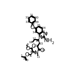 C=C(C)OC[C@@H](C(=O)OC)N(C)C(=O)CC[C@@H](CC)n1c(N)nc2ccc(Oc3ccccc3)cc21